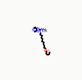 N#CNC(=Nc1ccncc1)NCCCCCCCCCCCOC1CCCCO1